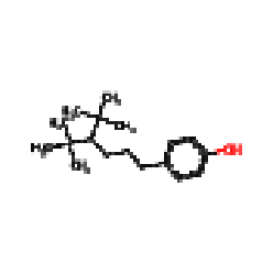 CC(C)(C)C(CCCc1ccc(O)cc1)C(C)(C)C